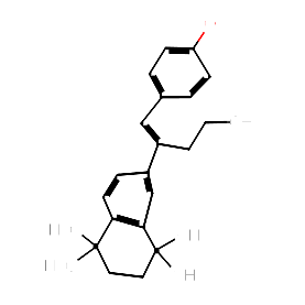 CCCC(=Cc1ccc(O)cc1)c1ccc2c(c1)C(C)(C)CCC2(C)C